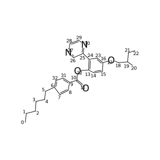 CCCCCCc1ccc(C(=O)Oc2ccc(OCC(C)CC)cc2-c2cnccn2)cc1